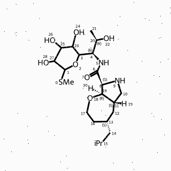 CSC1OC([C@H](NC(=O)[C@H]2NC[C@@H]3C[C@H](CC(C)C)CCO[C@H]32)[C@@H](C)O)C(O)C(O)C1O